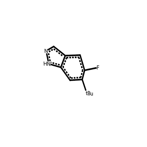 CC(C)(C)c1cc2[nH]ncc2cc1F